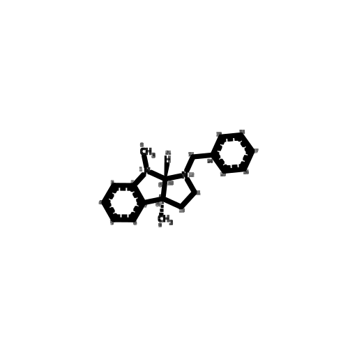 CN1c2cc[c]cc2[C@]2(C)CCN(Cc3ccccc3)[C@@H]12